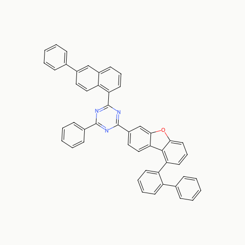 c1ccc(-c2ccc3c(-c4nc(-c5ccccc5)nc(-c5ccc6c(c5)oc5cccc(-c7ccccc7-c7ccccc7)c56)n4)cccc3c2)cc1